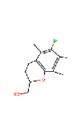 Cc1c(C)c2c(c(C)c1Br)CCC(CO)O2